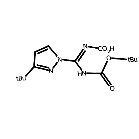 CC(C)(C)OC(=O)NC(=NC(=O)O)n1ccc(C(C)(C)C)n1